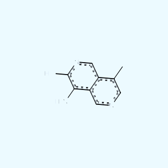 Cc1cncc2c(N)c(O)ncc12